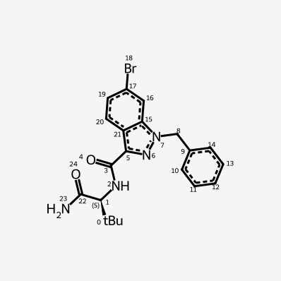 CC(C)(C)[C@H](NC(=O)c1nn(Cc2ccccc2)c2cc(Br)ccc12)C(N)=O